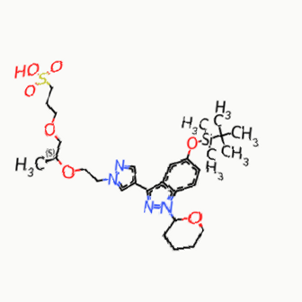 C[C@@H](COCCCS(=O)(=O)O)OCCn1cc(-c2nn(C3CCCCO3)c3ccc(O[Si](C)(C)C(C)(C)C)cc23)cn1